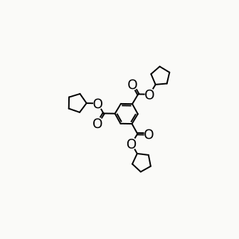 O=C(OC1CCCC1)c1cc(C(=O)OC2CCCC2)cc(C(=O)OC2CCCC2)c1